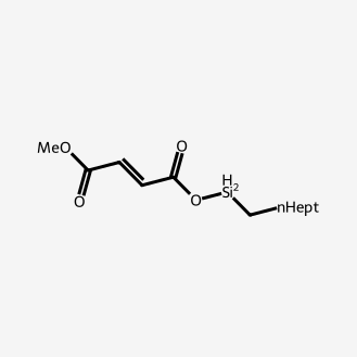 CCCCCCCC[SiH2]OC(=O)C=CC(=O)OC